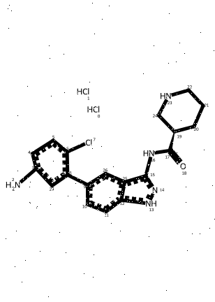 Cl.Cl.Nc1ccc(Cl)c(-c2ccc3[nH]nc(NC(=O)[C@@H]4CCCNC4)c3c2)c1